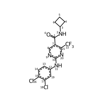 O=C(NC1CCC1)c1cnc(Nc2ccc(Cl)c(Cl)c2)nc1C(F)(F)F